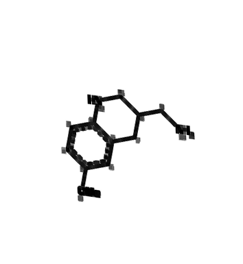 COc1ccc2c(c1)CC(CN)CN2